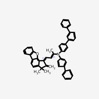 C=C1/C(=C\C=C(/C)N(c2ccc(-c3ccccc3)cc2)c2ccc(-c3cccc(-c4ccccc4)c3)cc2)c2c(ccc3c2oc2ccc#cc23)C1(C)C